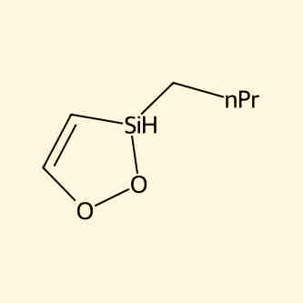 CCCC[SiH]1C=COO1